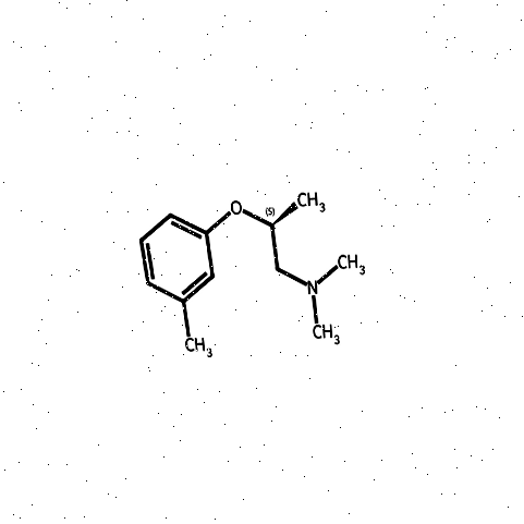 Cc1cccc(O[C@@H](C)CN(C)C)c1